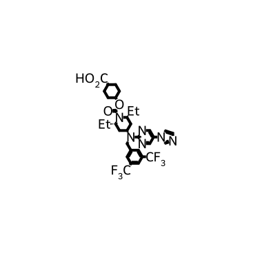 CC[C@@H]1C[C@@H](N(Cc2cc(C(F)(F)F)cc(C(F)(F)F)c2)c2ncc(-n3ccnc3)cn2)C[C@H](CC)N1C(=O)OC1CCC(C(=O)O)CC1